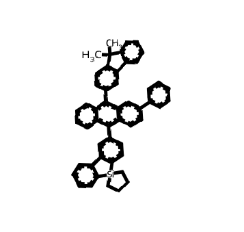 CC1(C)c2ccccc2-c2cc(-c3c4ccccc4c(-c4ccc5c(c4)-c4ccccc4[Si]54CCCC4)c4ccc(-c5ccccc5)cc34)ccc21